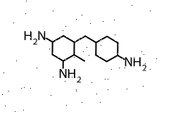 CC1C(N)CC(N)CC1CC1CCC(N)CC1